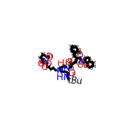 CC(C)(C)NC(=O)C1CN(CCCC(=O)ON2C(=O)CCC2=O)CCN1CC(O)CC(Cc1ccccc1)C(=O)N(O)C1CCc2ccccc21